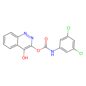 O=C(Nc1cc(Cl)cc(Cl)c1)Oc1nnc2ccccc2c1O